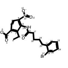 CCc1c(C(=O)O)ccc([N+](=O)[O-])c1NC(=O)CCCCc1ccccc1Br